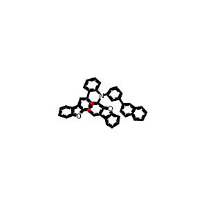 c1cc(-c2ccc3ccccc3c2)cc(N(c2ccccc2-c2ccc3oc4ccccc4c3c2)c2cccc3c2oc2ccccc23)c1